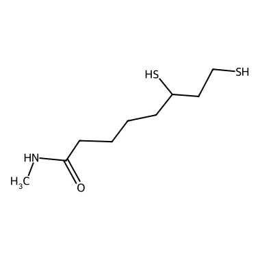 CNC(=O)CCCCC(S)CCS